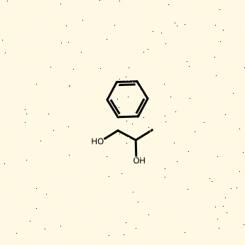 CC(O)CO.c1ccccc1